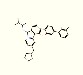 Cc1cccc(-c2ccc3c(c2)oc2c4c(ccc23)C(NC(C)C(C)C)[n+]2ccc(CC3CCCC3)cc2-4)c1